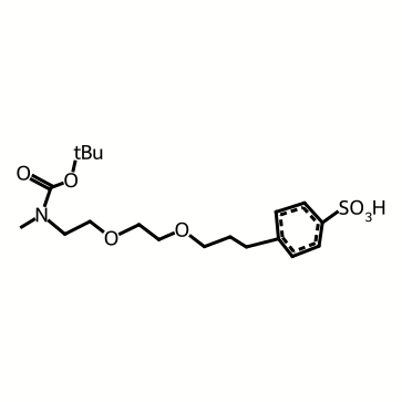 CN(CCOCCOCCCc1ccc(S(=O)(=O)O)cc1)C(=O)OC(C)(C)C